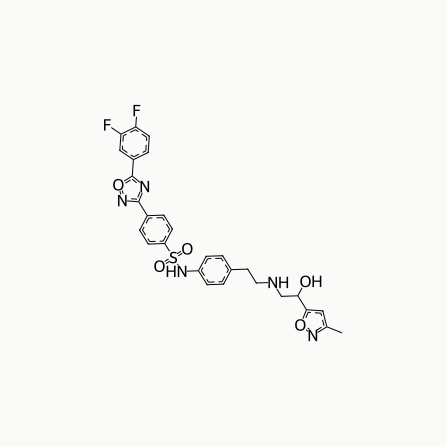 Cc1cc(C(O)CNCCc2ccc(NS(=O)(=O)c3ccc(-c4noc(-c5ccc(F)c(F)c5)n4)cc3)cc2)on1